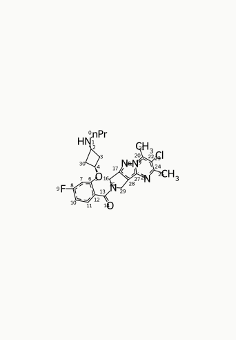 CCCN[C@H]1C[C@@H](Oc2cc(F)ccc2C(=O)N2Cc3nn4c(C)c(Cl)c(C)nc4c3C2)C1